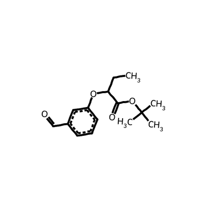 CCC(Oc1cccc(C=O)c1)C(=O)OC(C)(C)C